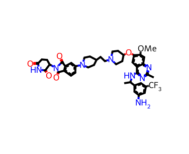 COc1cc2nc(C)nc(NC(C)c3cc(N)cc(C(F)(F)F)c3)c2cc1OC1CCN(CCC2CCN(c3ccc4c(c3)C(=O)N(C3CCC(=O)NC3=O)C4=O)CC2)CC1